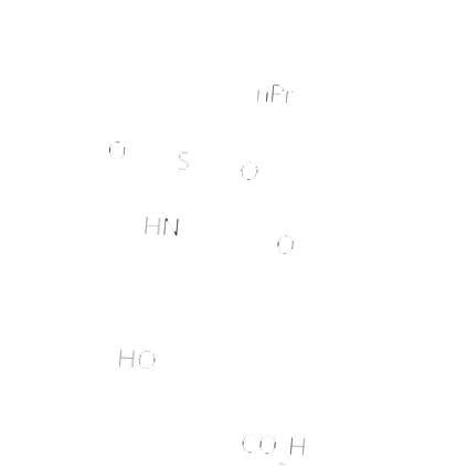 CCCC1(S(=O)(=O)NC(=O)/C(O)=C/C(=O)O)CC1